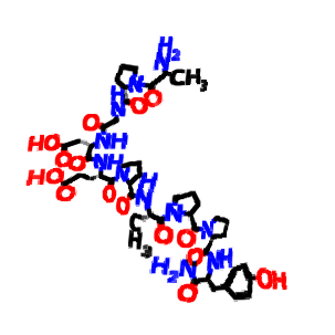 C[C@H](N)C(=O)N1CCC[C@H]1C(=O)NCC(=O)N[C@@H](CC(=O)O)C(=O)N[C@@H](CCC(=O)O)C(=O)N1CCC[C@H]1C(=O)N[C@@H](C)C(=O)N1CCC[C@H]1C(=O)N1CCC[C@H]1C(=O)N[C@@H](Cc1ccc(O)cc1)C(N)=O